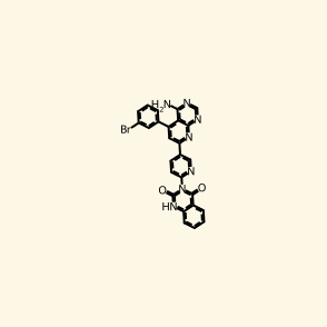 Nc1ncnc2nc(-c3ccc(-n4c(=O)[nH]c5ccccc5c4=O)nc3)cc(-c3cccc(Br)c3)c12